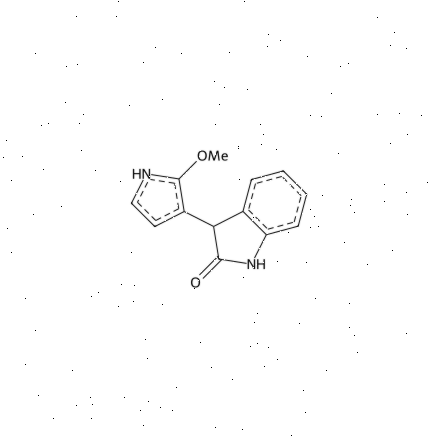 COc1[nH]ccc1C1C(=O)Nc2ccccc21